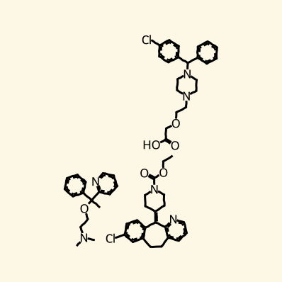 CCOC(=O)N1CCC(=C2c3ccc(Cl)cc3CCc3cccnc32)CC1.CN(C)CCOC(C)(c1ccccc1)c1ccccn1.O=C(O)COCCN1CCN(C(c2ccccc2)c2ccc(Cl)cc2)CC1